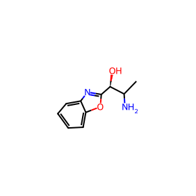 CC(N)[C@H](O)c1nc2ccccc2o1